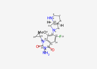 COc1c(N2C[C@@H]3CCCN[C@@H]3C2)c(F)cc2c(=O)n(N)c(=O)n(C3CC3)c12